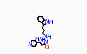 O=c1cc(-c2ccncc2)[nH]c(NCCCc2c[nH]c3ccccc23)n1